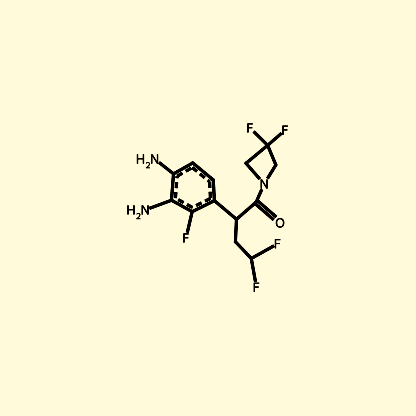 Nc1ccc(C(CC(F)F)C(=O)N2CC(F)(F)C2)c(F)c1N